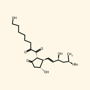 CCCC[C@H](C)C[C@H](O)C=C[C@@H]1[C@@H](C(=O)C(=O)CCCCCCO)C(=O)C[C@H]1O